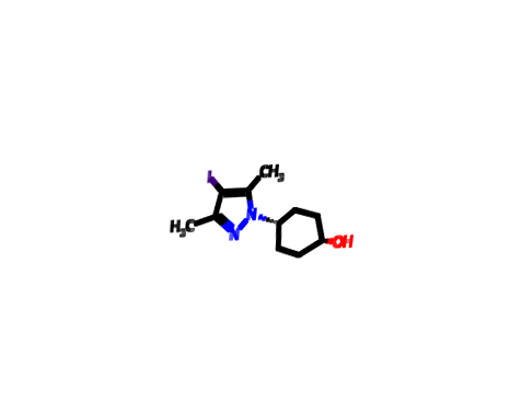 Cc1nn([C@H]2CC[C@H](O)CC2)c(C)c1I